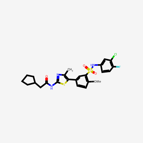 COc1ccc(-c2sc(NC(=O)CC3CCCC3)nc2C)cc1S(=O)(=O)Nc1ccc(F)c(Cl)c1